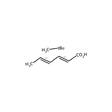 C/C=C/C=C/C(=O)O.CC(C)(C)C